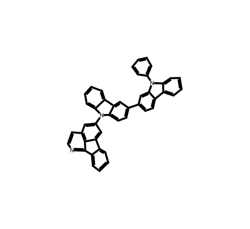 c1ccc(-n2c3ccccc3c3ccc(-c4ccc5c(c4)c4ccccc4n5-c4cc5c6c(nccc6c4)-c4ccccc4-5)cc32)cc1